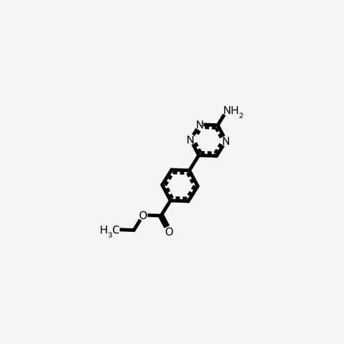 CCOC(=O)c1ccc(-c2cnc(N)nn2)cc1